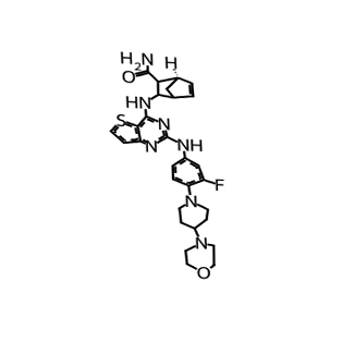 NC(=O)C1C(Nc2nc(Nc3ccc(N4CCC(N5CCOCC5)CC4)c(F)c3)nc3ccsc23)C2C=C[C@H]1C2